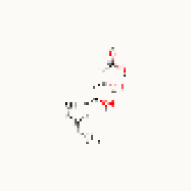 CCC(CC)CCC(O)C[C@@H](O)CC(=O)O